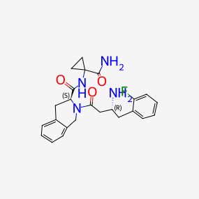 NC(=O)C1(NC(=O)[C@@H]2Cc3ccccc3CN2C(=O)C[C@H](N)Cc2ccccc2F)CC1